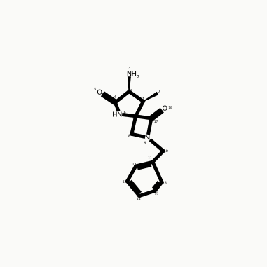 C[C@@H]1[C@H](N)C(=O)NC12CN(Cc1ccccc1)C2=O